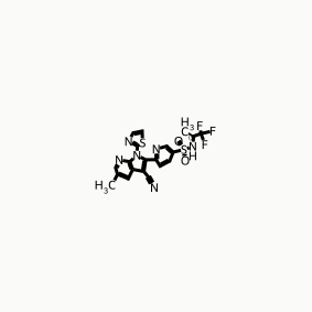 Cc1cnc2c(c1)c(C#N)c(-c1ccc(S(=O)(=O)N[C@@H](C)C(F)(F)F)cn1)n2-c1nccs1